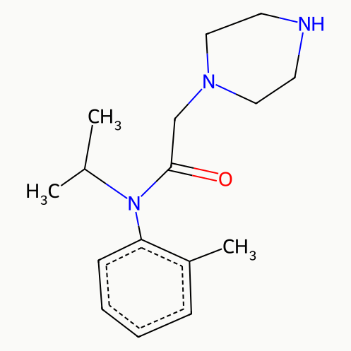 Cc1ccccc1N(C(=O)CN1CCNCC1)C(C)C